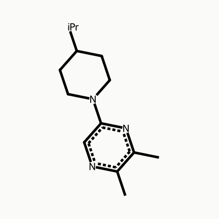 Cc1ncc(N2CCC(C(C)C)CC2)nc1C